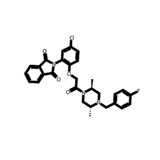 C[C@@H]1CN(C(=O)COc2ccc(Cl)cc2N2C(=O)c3ccccc3C2=O)[C@@H](C)CN1Cc1ccc(F)cc1